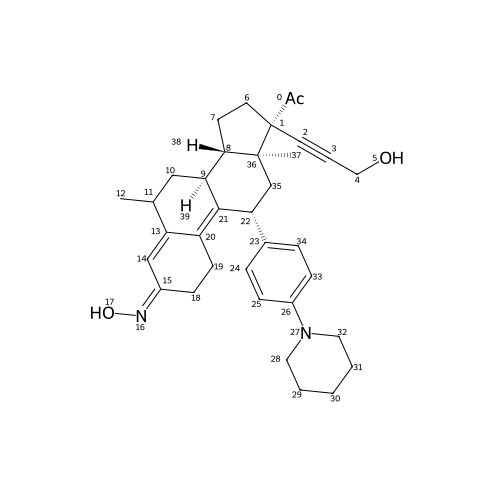 CC(=O)[C@@]1(C#CCO)CC[C@H]2[C@@H]3CC(C)C4=CC(=NO)CCC4=C3[C@@H](c3ccc(N4CCCCC4)cc3)C[C@@]21C